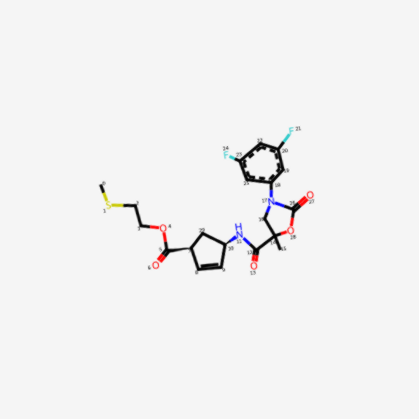 CSCCOC(=O)[C@@H]1C=C[C@H](NC(=O)C2(C)CN(c3cc(F)cc(F)c3)C(=O)O2)C1